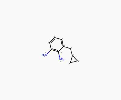 Nc1cccc(CC2CC2)c1N